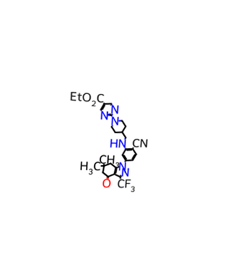 CCOC(=O)c1cnc(N2CCC(CNc3cc(-n4nc(C(F)(F)F)c5c4CC(C)(C)CC5=O)ccc3C#N)CC2)nc1